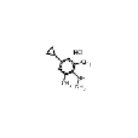 Cc1cc(C2CC2)cc(C)c1NN.Cl